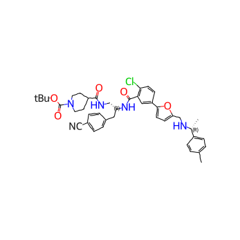 Cc1ccc([C@@H](C)NCc2ccc(-c3ccc(Cl)c(C(=O)N[C@@H](CNC(=O)C4CCN(C(=O)OC(C)(C)C)CC4)Cc4ccc(C#N)cc4)c3)o2)cc1